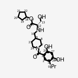 CC(C)c1cc(C(=O)N2CCC(CN[C@@H](CO)C(=O)OC3CCCC3)CC2)c(O)cc1O